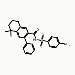 CC1(C)CCCc2cc(C(=O)NS(=O)(=O)c3ccc(N)cc3)c(-c3ccccc3)nc21